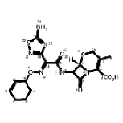 CC1=C(C(=O)O)N2C(=O)C(NC(=O)C(=NOC3C=CCCC3)c3nsc(N)n3)[C@@H]2SC1